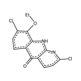 CCOc1c(Cl)ccc2c(=O)c3ccc(Cl)nc3[nH]c12